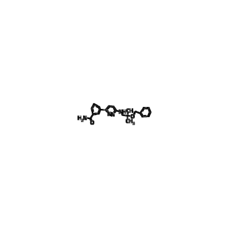 CC(C)(CNc1ccc(-c2cccc(C(N)=O)c2)nn1)OCc1ccccc1